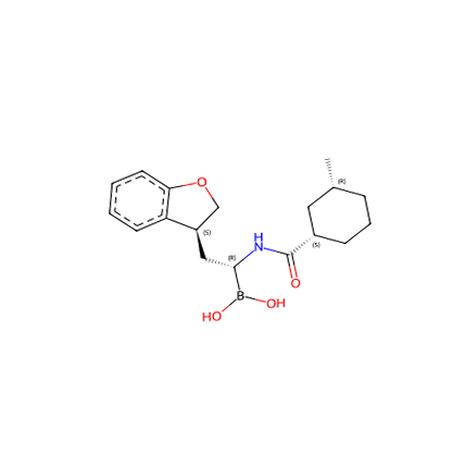 C[C@@H]1CCC[C@H](C(=O)N[C@@H](C[C@@H]2COc3ccccc32)B(O)O)C1